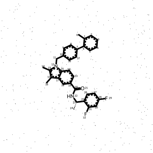 Cc1ccccc1-c1ccc(Cn2c(C)c(C)c3cc(C(=O)N[C@@H](C)c4ccc(F)cc4F)ccc32)cc1